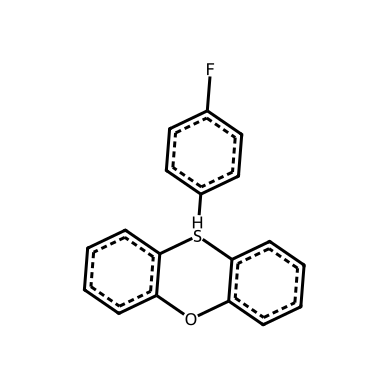 Fc1ccc([SH]2c3ccccc3Oc3ccccc32)cc1